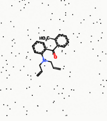 C=CCN(CC=C)c1ccccc1C(=O)c1ccccc1C(=O)O